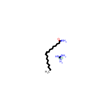 CCCCCCCC/C=C\CCCCCCCC(N)=O.Cl.N=C(N)N